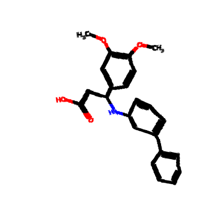 COc1ccc(C(CC(=O)O)Nc2cccc(-c3ccccc3)c2)cc1OC